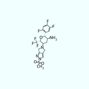 CS(=O)(=O)n1cc2c(n1)CN([C@@H]1C[C@H](N)[C@@H](c3cc(F)c(F)cc3F)O[C@H]1C(F)(F)F)C2